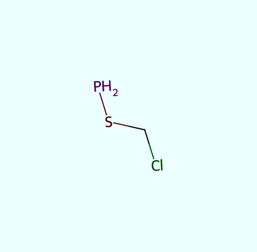 PSCCl